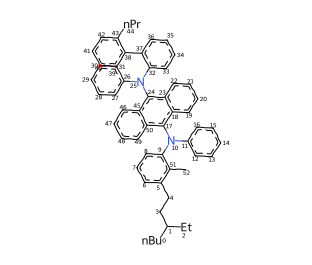 CCCCC(CC)CCc1cccc(N(c2ccccc2)c2c3ccccc3c(N(c3ccccc3)c3ccccc3-c3ccccc3CCC)c3ccccc23)c1C